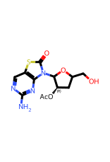 CC(=O)O[C@@H]1CC(CO)OC1n1c(=O)sc2cnc(N)nc21